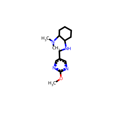 COc1ncc(CNC2CCCCC2N(C)C)cn1